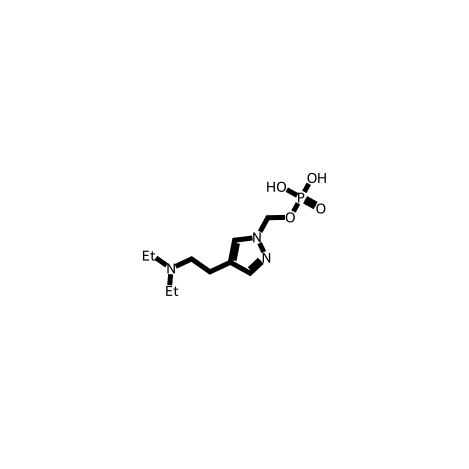 CCN(CC)CCc1cnn(COP(=O)(O)O)c1